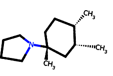 C[C@@H]1C[C@](C)(N2CCCC2)CC[C@@H]1C